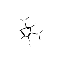 Cc1cc(N(C)C)c(C)c(N(C)C)c1O